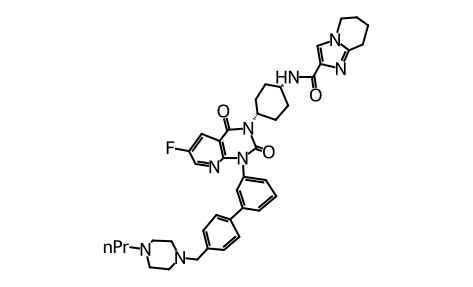 CCCN1CCN(Cc2ccc(-c3cccc(-n4c(=O)n([C@H]5CC[C@@H](NC(=O)c6cn7c(n6)CCCC7)CC5)c(=O)c5cc(F)cnc54)c3)cc2)CC1